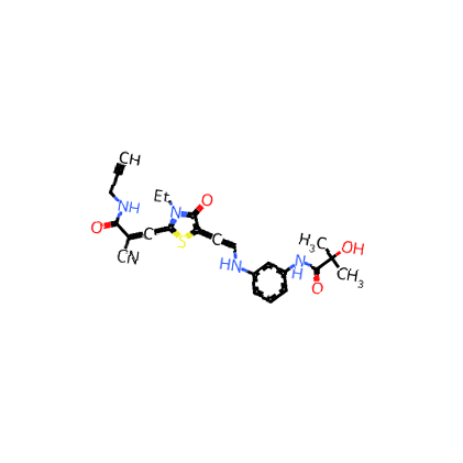 C#CCNC(=O)C(=C=c1sc(=C=CNc2cccc(NC(=O)C(C)(C)O)c2)c(=O)n1CC)C#N